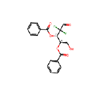 O=CC(F)(F)[C@H](OC(=O)c1ccccc1)[C@@H](CO)OC(=O)c1ccccc1